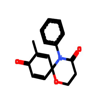 CC1=CC2(C=CC1=O)OCCC(=O)N2c1ccccc1